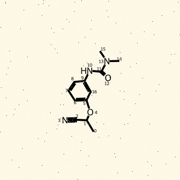 CC(C#N)Oc1cccc(NC(=O)N(C)C)c1